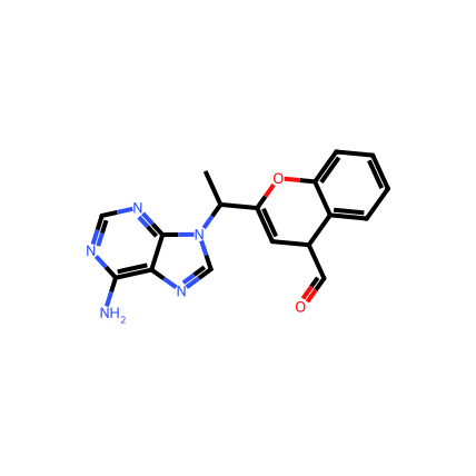 CC(C1=CC(C=O)c2ccccc2O1)n1cnc2c(N)ncnc21